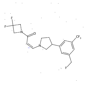 O=C(/C=C\N1CCC(c2cc(CF)cc(C(F)(F)F)c2)C1)N1CC(F)(F)C1